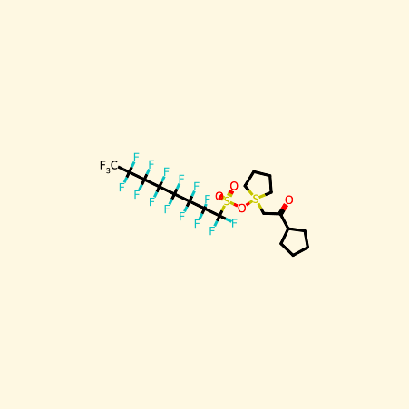 O=C(CS1(OS(=O)(=O)C(F)(F)C(F)(F)C(F)(F)C(F)(F)C(F)(F)C(F)(F)C(F)(F)C(F)(F)F)CCCC1)C1CCCC1